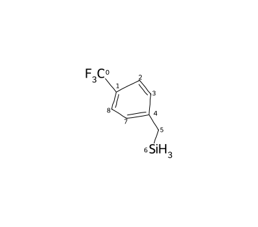 FC(F)(F)c1ccc(C[SiH3])cc1